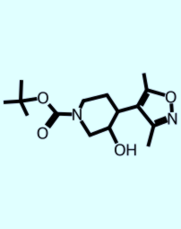 Cc1noc(C)c1C1CCN(C(=O)OC(C)(C)C)CC1O